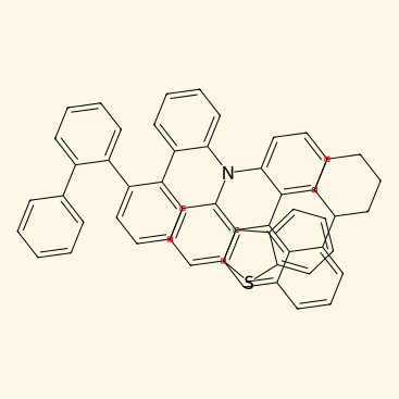 c1ccc(-c2ccccc2-c2ccccc2-c2ccccc2N(c2ccccc2-c2cccc3cccc(C4CCCCC4)c23)c2cccc3sc4ccccc4c23)cc1